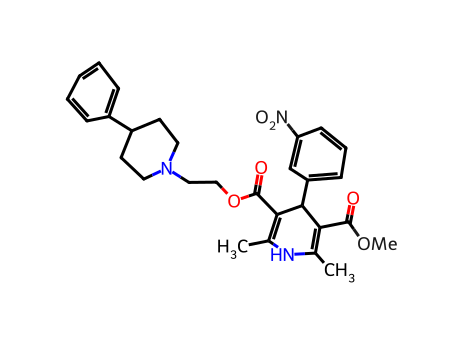 COC(=O)C1=C(C)NC(C)=C(C(=O)OCCN2CCC(c3ccccc3)CC2)C1c1cccc([N+](=O)[O-])c1